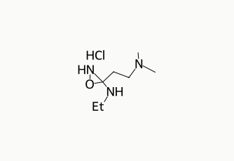 CCNC1(CCN(C)C)NO1.Cl